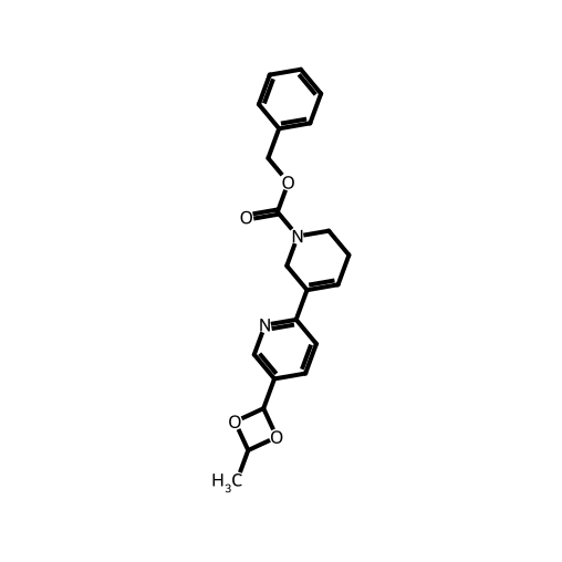 CC1OC(c2ccc(C3=CCCN(C(=O)OCc4ccccc4)C3)nc2)O1